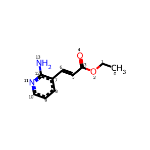 CCOC(=O)C=Cc1cccnc1N